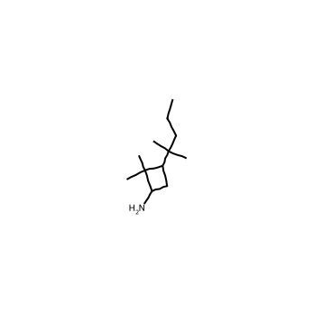 CCCC(C)(C)C1CC(N)C1(C)C